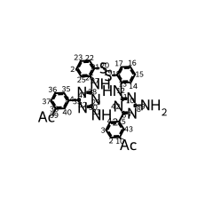 CC(=O)c1cccc(-c2nc(N)nc(Nc3ccccc3SSc3ccccc3Nc3nc(N)nc(-c4cccc(C(C)=O)c4)n3)n2)c1